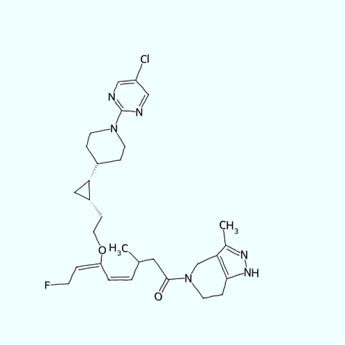 Cc1n[nH]c2c1CN(C(=O)CC(C)/C=C\C(=C/CF)OCC[C@@H]1C[C@@H]1C1CCN(c3ncc(Cl)cn3)CC1)CC2